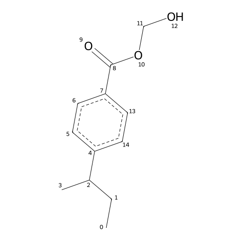 CCC(C)c1ccc(C(=O)OCO)cc1